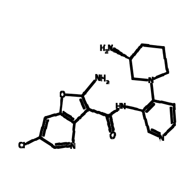 Nc1oc2cc(Cl)cnc2c1C(=O)Nc1cnccc1N1CCC[C@H](N)C1